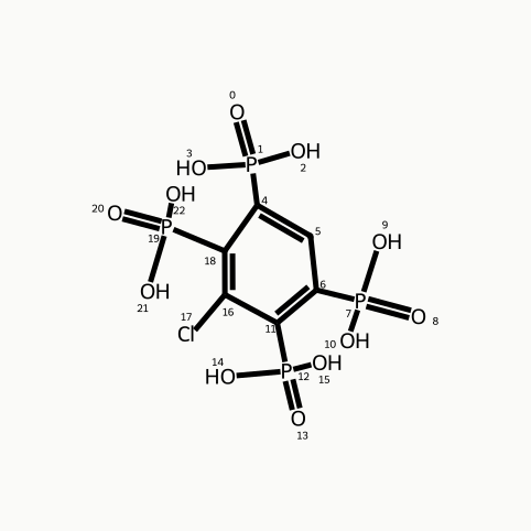 O=P(O)(O)c1cc(P(=O)(O)O)c(P(=O)(O)O)c(Cl)c1P(=O)(O)O